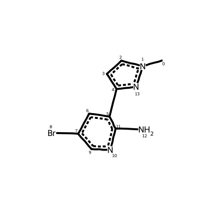 Cn1ccc(-c2cc(Br)cnc2N)n1